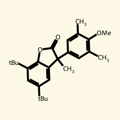 COc1c(C)cc(C2(C)C(=O)Oc3c(C(C)(C)C)cc(C(C)(C)C)cc32)cc1C